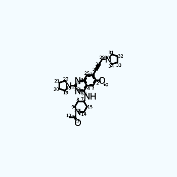 COc1cc2c(NC3CCN(C(C)=O)CC3)nc(N3CCCC3)nc2cc1C#CCN1CCCC1